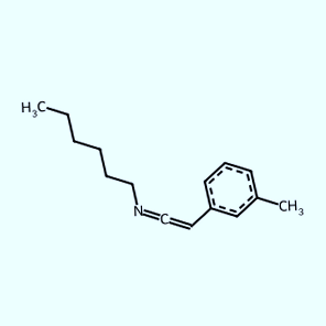 CCCCCCN=C=Cc1cccc(C)c1